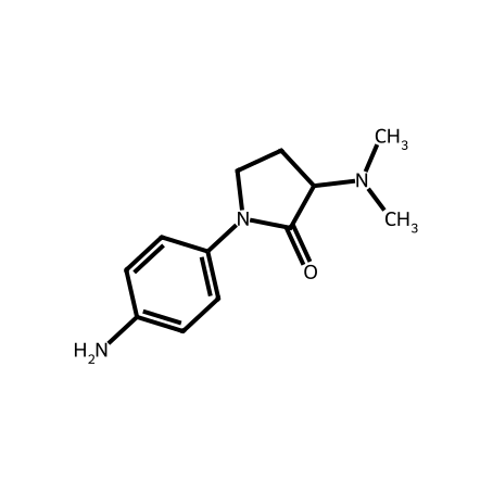 CN(C)C1CCN(c2ccc(N)cc2)C1=O